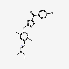 CCN(C)/C=N/c1cc(C)c(Cc2nc(C(=O)c3ccc(Cl)cc3)cs2)cc1C